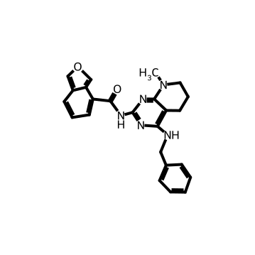 CN1CCCc2c(NCc3ccccc3)nc(NC(=O)c3cccc4cocc34)nc21